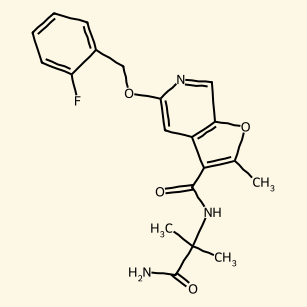 Cc1oc2cnc(OCc3ccccc3F)cc2c1C(=O)NC(C)(C)C(N)=O